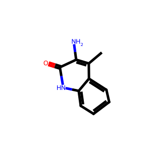 Cc1c(N)c(=O)[nH]c2ccccc12